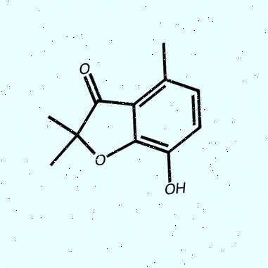 Cc1ccc(O)c2c1C(=O)C(C)(C)O2